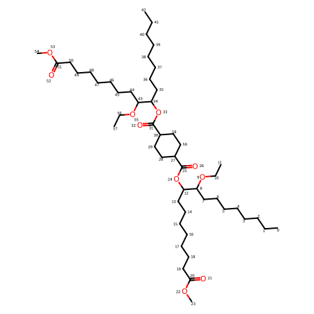 CCCCCCCCC(OCC)C(CCCCCCCC(=O)OC)OC(=O)C1CCC(C(=O)OC(CCCCCCCC)C(CCCCCCCC(=O)OC)OCC)CC1